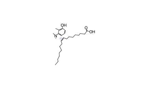 CCCCCCCC/C=C\CCCCCCCC(=O)O.Cc1c(O)cccc1N(C)C